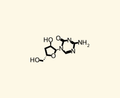 Nc1ncn([C@@H]2O[C@H](CO)C[C@H]2O)c(=O)n1